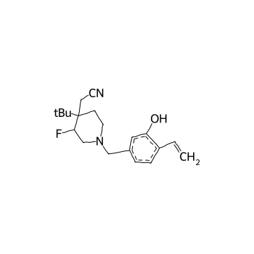 C=Cc1ccc(CN2CCC(CC#N)(C(C)(C)C)C(F)C2)cc1O